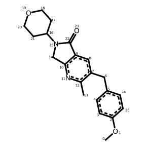 COc1ccc(Cc2cc3c(nc2C)CN(C2CCOCC2)C3=O)cc1